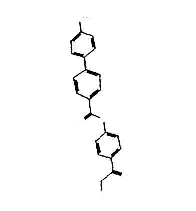 COc1ccc(-c2ccc(C(=O)Oc3ccc(C(=O)CBr)cc3)cc2)cc1